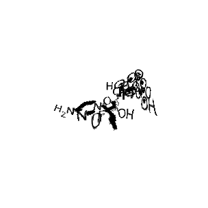 CC#CC1(F)[C@@H](O)[C@@H](COP(=O)(O)OP(=O)(O)OP(=O)(O)O)O[C@H]1n1ccc(N)nc1=O